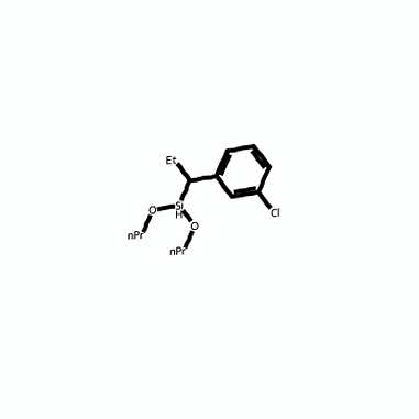 CCCO[SiH](OCCC)C(CC)c1cccc(Cl)c1